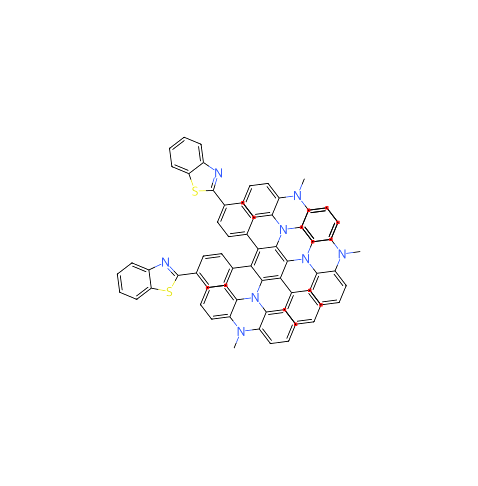 CN1c2ccccc2N(c2c(-c3ccc(-c4nc5ccccc5s4)cc3)c(-c3ccc(-c4nc5ccccc5s4)cc3)c(N3c4ccccc4N(C)c4ccccc43)c(N3c4ccccc4N(C)c4ccccc43)c2-c2ccccc2)c2ccccc21